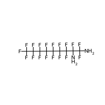 NC(F)(F)C(N)(F)C(F)(F)C(F)(F)C(F)(F)C(F)(F)C(F)(F)C(F)(F)C(F)(F)F